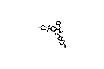 C=Cc1ccc2nc(NC(=O)C(CC3CCCC3)c3ccc(S(=O)(=O)N4CCN(C)CC4)cc3)sc2n1